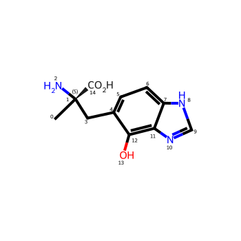 C[C@](N)(Cc1ccc2[nH]cnc2c1O)C(=O)O